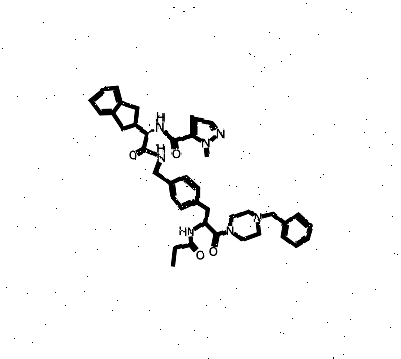 CCC(=O)NC(Cc1ccc(CNC(=O)[C@@H](NC(=O)c2ccnn2C)C2Cc3ccccc3C2)cc1)C(=O)N1CCN(Cc2ccccc2)CC1